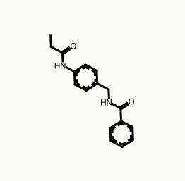 CCC(=O)Nc1ccc(CNC(=O)c2ccccc2)cc1